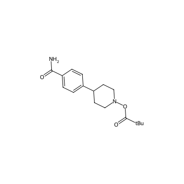 CC(C)(C)C(=O)ON1CCC(c2ccc(C(N)=O)cc2)CC1